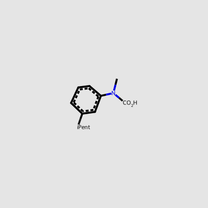 CCCC(C)c1cccc(N(C)C(=O)O)c1